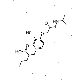 CCCC(Cc1ccc(OCC(O)CNC(C)C)cc1)C(=O)O.Cl